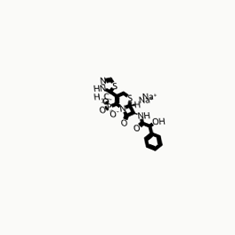 CC1(C2=C(P(=O)([O-])[O-])N3C(=O)[C@@H](NC(=O)C(O)c4ccccc4)[C@H]3SC2)NN=CS1.[Na+].[Na+]